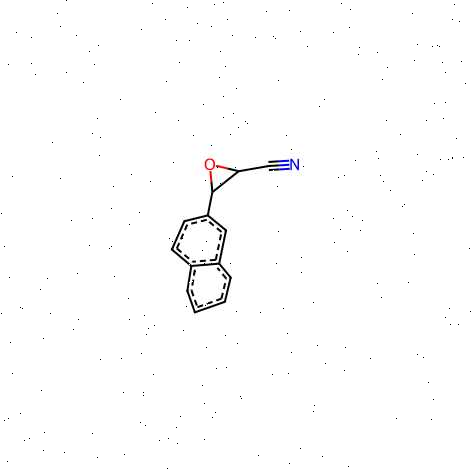 N#CC1OC1c1ccc2ccccc2c1